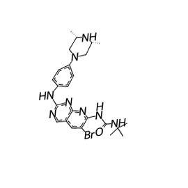 C[C@@H]1CN(c2ccc(Nc3ncc4cc(Br)c(NC(=O)NC(C)(C)C)nc4n3)cc2)C[C@H](C)N1